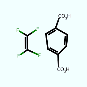 FC(F)=C(F)F.O=C(O)c1ccc(C(=O)O)cc1